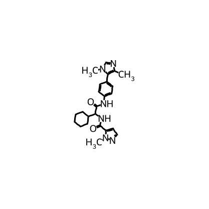 Cc1ncn(C)c1-c1ccc(NC(=O)C(NC(=O)c2ccnn2C)C2CCCCC2)cc1